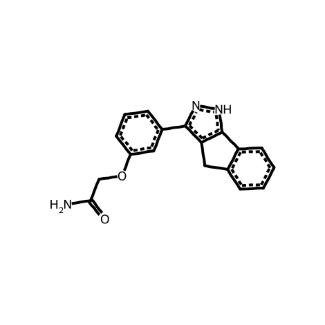 NC(=O)COc1cccc(-c2n[nH]c3c2Cc2ccccc2-3)c1